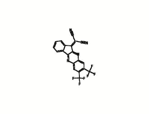 N#CC(C#N)=C1c2ccccc2-c2nc3cc(C(F)(F)F)c(C(F)(F)F)cc3nc21